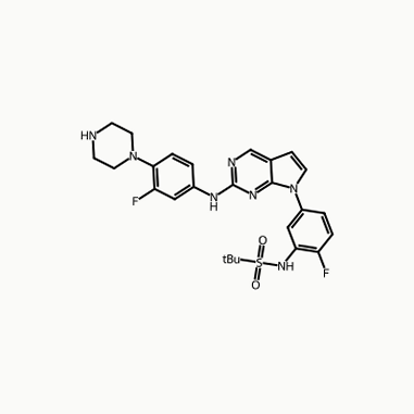 CC(C)(C)S(=O)(=O)Nc1cc(-n2ccc3cnc(Nc4ccc(N5CCNCC5)c(F)c4)nc32)ccc1F